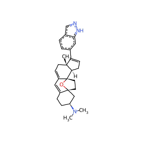 CN(C)[C@H]1CCC2=CC3=CC[C@]4(C)C(c5ccc6cn[nH]c6c5)=CC[C@H]4[C@@]34CC[C@]2(C1)O4